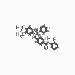 CCc1ccccc1NC(=O)c1ccc(CN(c2ccc(C)c(C)c2)S(=O)(=O)c2ccccc2)cc1